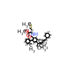 CCC(c1ccc(C(=O)N[C@@H](CCSC)C(=O)OC)c(-c2ccccc2C)c1)C(C)(C)CCCC1CCCCC1